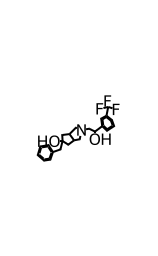 OC(CN1CC2CC(O)(Cc3ccccc3)CC2C1)c1cccc(C(F)(F)F)c1